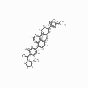 N#C[C@@H]1CCCN1C(=O)c1ccc(-c2ccc(F)c3c(N4CCC(c5noc(C(F)(F)F)n5)CC4)ncnc23)cc1F